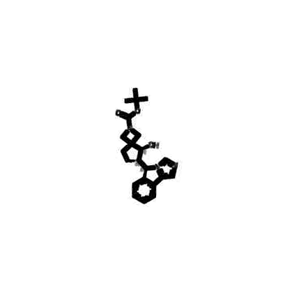 CC(C)(C)OC(=O)N1CC2(CC[C@@H]([C@@H]3c4ccccc4-c4cncn43)[C@@H]2O)C1